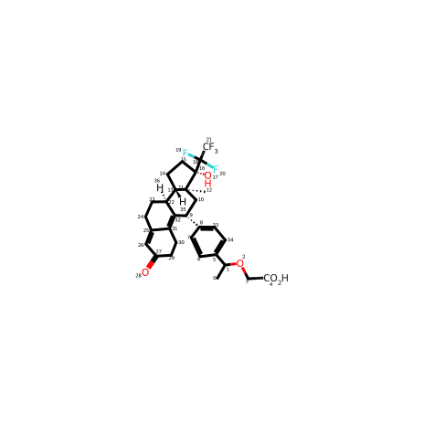 CC(OCC(=O)O)c1ccc([C@H]2C[C@@]3(C)[C@@H](CC[C@@]3(O)C(F)(F)C(F)(F)F)[C@@H]3CCC4=CC(=O)CCC4=C32)cc1